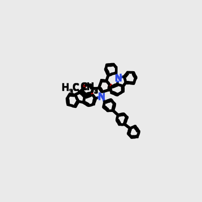 CC1(C)c2ccccc2-c2ccc(N(c3ccc(-c4ccc(-c5ccccc5)cc4)cc3)c3ccc(C4=CC=CCC4n4c5ccccc5c5ccccc54)cc3-c3ccccc3)cc21